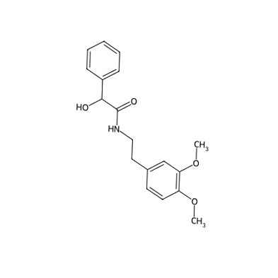 COc1ccc(CCNC(=O)C(O)c2ccccc2)cc1OC